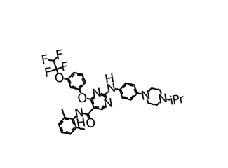 Cc1cccc(C)c1NC(=O)c1cnc(Nc2ccc(N3CCN(C(C)C)CC3)cc2)nc1Oc1cccc(OC(F)(F)C(F)F)c1